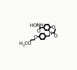 COCCOc1ccc(CN2C(=O)COc3ccc(C(=O)NO)cc32)cc1